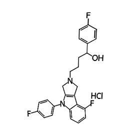 Cl.OC(CCCN1Cc2c(n(-c3ccc(F)cc3)c3cccc(F)c23)C1)c1ccc(F)cc1